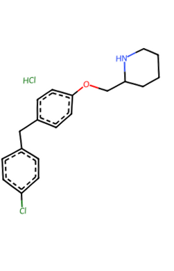 Cl.Clc1ccc(Cc2ccc(OCC3CCCCN3)cc2)cc1